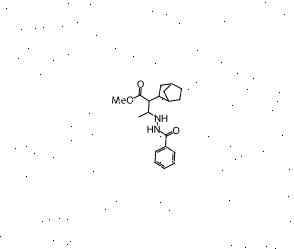 COC(=O)C(C(C)NNC(=O)c1ccccc1)C1CC2CCC1C2